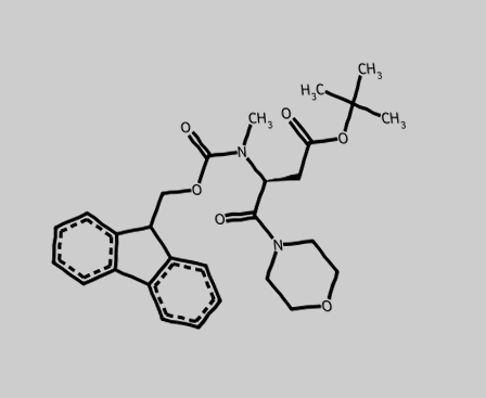 CN(C(=O)OCC1c2ccccc2-c2ccccc21)[C@@H](CC(=O)OC(C)(C)C)C(=O)N1CCOCC1